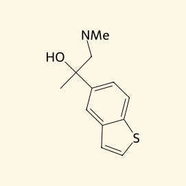 CNCC(C)(O)c1ccc2sccc2c1